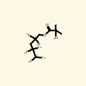 CCC(C)(C)C(=O)OCC(F)(F)CC(F)(F)C(F)F